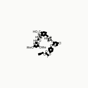 C#CCOC(=O)[C@@H](C)Oc1ccc(Oc2ncc(Cl)cc2F)cc1.COc1cc(OC)nc(NC(=O)NS(=O)(=O)c2cc(CNS(C)(=O)=O)ccc2C(=O)O)n1